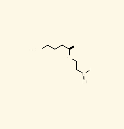 CCCCCCCCCCCC(=O)OCCN(CC)CC